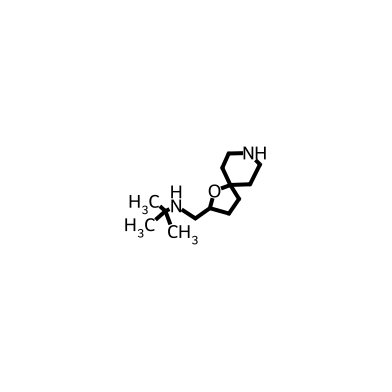 CC(C)(C)NCC1CCC2(CCNCC2)O1